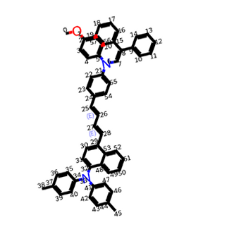 COc1ccc(N(C=C(c2ccccc2)c2ccccc2)c2ccc(/C=C/C=C/c3ccc(N(c4ccc(C)cc4)c4ccc(C)cc4)c4ccccc34)cc2)cc1